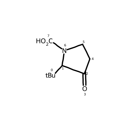 CC(C)(C)C1C(=O)CCN1C(=O)O